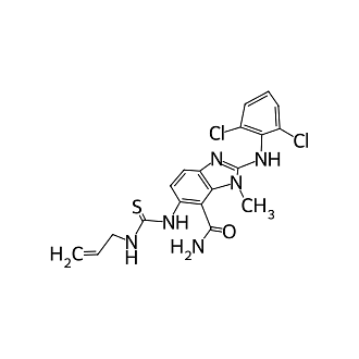 C=CCNC(=S)Nc1ccc2nc(Nc3c(Cl)cccc3Cl)n(C)c2c1C(N)=O